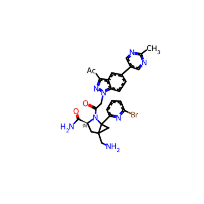 CC(=O)c1nn(CC(=O)N2[C@H](C(N)=O)CC3(CN)CC23c2cccc(Br)n2)c2ccc(-c3cnc(C)nc3)cc12